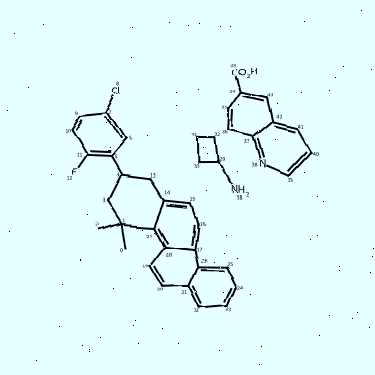 CC1(C)CC(c2cc(Cl)ccc2F)Cc2ccc3c(ccc4ccccc43)c21.NC1CCC1.O=C(O)c1ccc2ncccc2c1